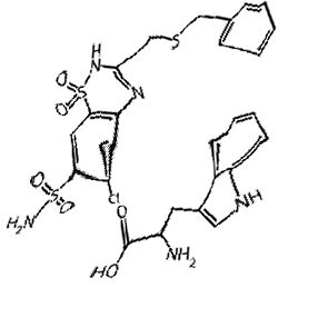 NC(Cc1c[nH]c2ccccc12)C(=O)O.NS(=O)(=O)c1cc2c(cc1Cl)N=C(CSCc1ccccc1)NS2(=O)=O